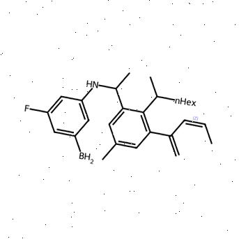 Bc1cc(F)cc(NC(C)c2cc(C)cc(C(=C)/C=C\C)c2C(C)CCCCCC)c1